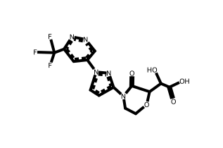 O=C(O)C(O)C1OCCN(c2ccn(-c3cnnc(C(F)(F)F)c3)n2)C1=O